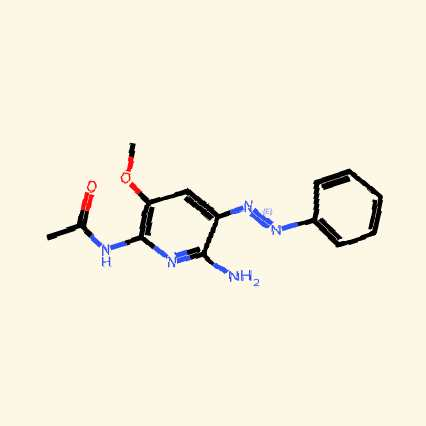 COc1cc(/N=N/c2ccccc2)c(N)nc1NC(C)=O